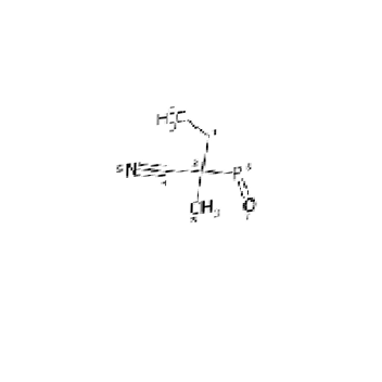 CCC(C)(C#N)P=O